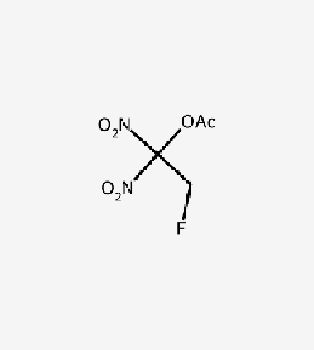 CC(=O)OC(CF)([N+](=O)[O-])[N+](=O)[O-]